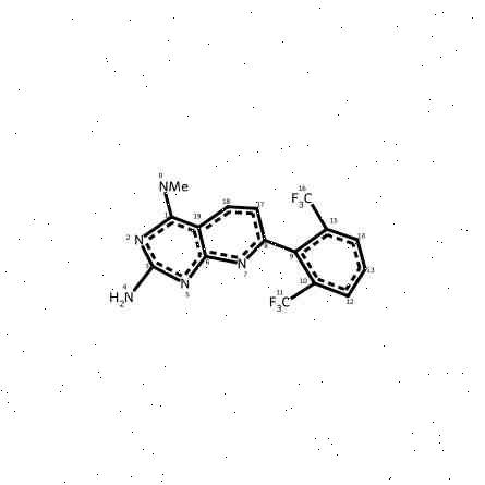 CNc1nc(N)nc2nc(-c3c(C(F)(F)F)cccc3C(F)(F)F)ccc12